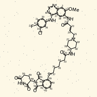 COc1cc2ncnc(Nc3ccc(F)c(Cl)c3)c2cc1NC(=O)C=CCN1CCC(NC(=O)CCCCCSc2cccc3c2C(=O)N(C2CCC(=O)NC2=O)C3=O)CC1